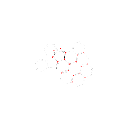 c1ccc(-c2ccccc2N(c2ccccc2-c2ccccc2N(c2ccccc2-c2ccccc2)c2cccc3c2oc2ccccc23)c2cccc3c2oc2ccccc23)cc1